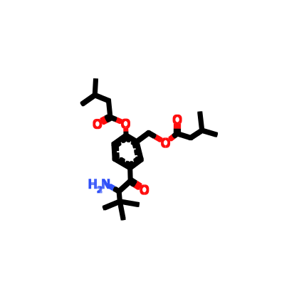 CC(C)CC(=O)OCc1cc(C(=O)C(N)C(C)(C)C)ccc1OC(=O)CC(C)C